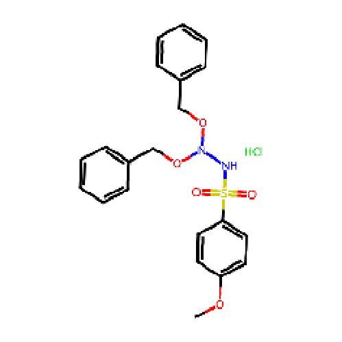 COc1ccc(S(=O)(=O)NN(OCc2ccccc2)OCc2ccccc2)cc1.Cl